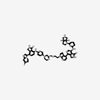 O=C1NCc2c(-c3cnc4cc(F)ccn34)ccc(Nc3ccc(N4CCO[C@H](COCCn5ccc6c(-c7ncc(Nc8cccc(N9CC[C@@H]%10CNC[C@@H]%109)n8)c8c7CNC8=O)ccnc65)C4)cn3)c21